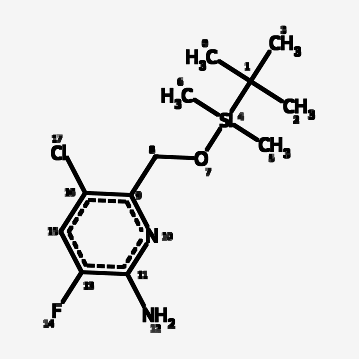 CC(C)(C)[Si](C)(C)OCc1nc(N)c(F)cc1Cl